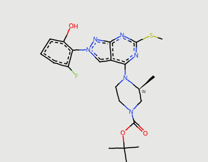 CSc1nc(N2CCN(C(=O)OC(C)(C)C)C[C@@H]2C)c2cn(-c3c(O)cccc3F)nc2n1